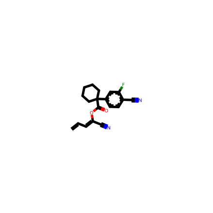 C=C/C=C(/C#N)OC(=O)C1(c2ccc(C#N)c(F)c2)CCCCC1